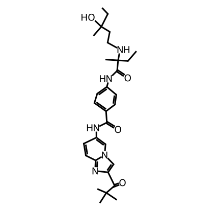 CCC(C)(O)CCNC(C)(CC)C(=O)Nc1ccc(C(=O)Nc2ccc3nc(C(=O)C(C)(C)C)cn3c2)cc1